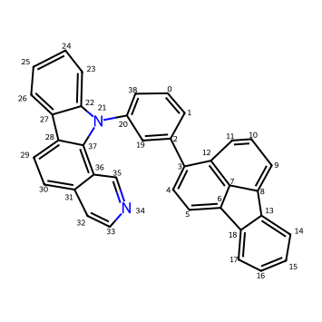 c1cc(-c2ccc3c4c(cccc24)-c2ccccc2-3)cc(-n2c3ccccc3c3ccc4ccncc4c32)c1